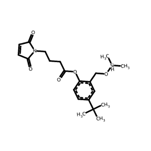 C[SiH](C)OCc1cc(C(C)(C)C)ccc1OC(=O)CCCN1C(=O)C=CC1=O